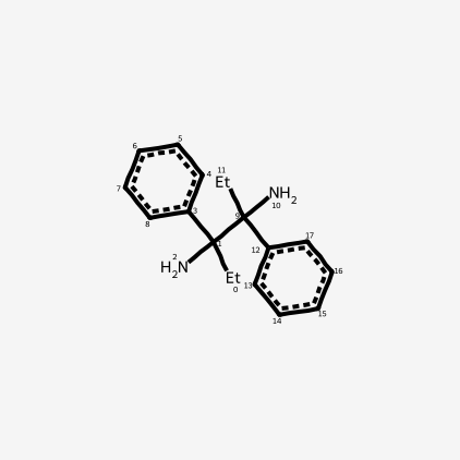 CCC(N)(c1ccccc1)C(N)(CC)c1ccccc1